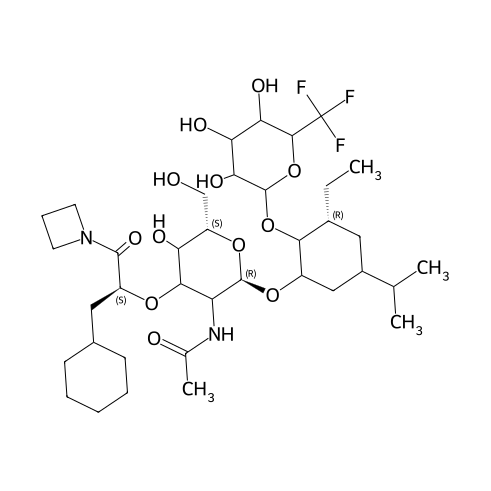 CC[C@@H]1CC(C(C)C)CC(O[C@@H]2O[C@@H](CO)C(O)C(O[C@@H](CC3CCCCC3)C(=O)N3CCC3)C2NC(C)=O)C1OC1OC(C(F)(F)F)C(O)C(O)C1O